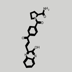 NC(=O)C1CCCN1C(=O)c1ccc(C(=O)C=Cc2nc3ccccc3nc2O)cc1